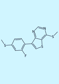 CSc1ccc(-c2csc3c(SC)ncnc23)c(F)c1